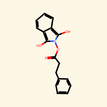 O=C(CCc1ccccc1)On1c(O)c2ccccc2c1O